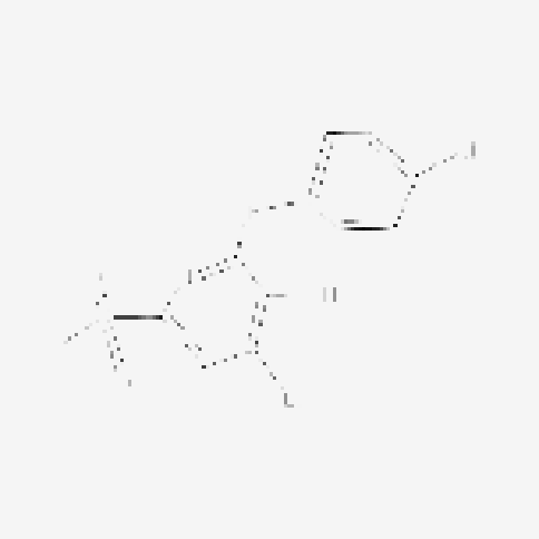 CCc1cc(S(C)(=O)=O)nc(Nc2ccc(Cl)cc2)c1[N+](=O)[O-]